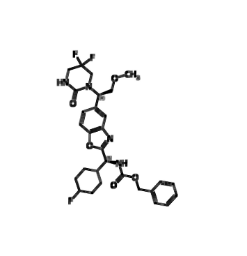 COC[C@@H](c1ccc2oc([C@@H](NC(=O)OCc3ccccc3)C3CCC(F)CC3)nc2c1)N1CC(F)(F)CNC1=O